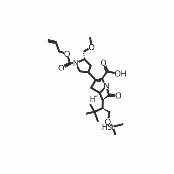 C=CCOC(=O)N1CC(C2=C(C(=O)O)N3C(=O)[C@@H]([C@@H](CO[SiH](C)C)C(C)(C)C)[C@H]3C2)C[C@H]1COC